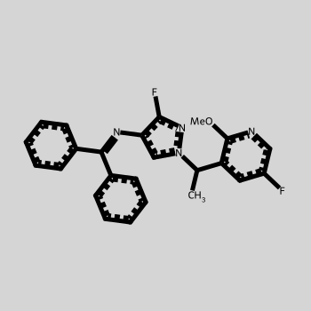 COc1ncc(F)cc1C(C)n1cc(N=C(c2ccccc2)c2ccccc2)c(F)n1